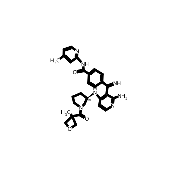 Cc1ccnc(NC(=O)c2ccc(C(=N)c3c(N[C@@H]4CCCN(C(=O)C5(C)COC5)C4)ccnc3N)cc2)c1